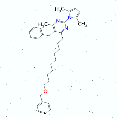 Cc1nc(-n2c(C)ccc2C)nc(CCCCCCCCCCOCc2ccccc2)c1Cc1ccccc1